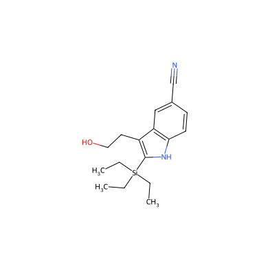 CC[Si](CC)(CC)c1[nH]c2ccc(C#N)cc2c1CCO